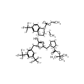 CCOC(=O)N1c2ccc(C(F)(F)F)cc2[C@@H](NC2=NC(CN3CCC[C@H]3C(=O)OC(C)(C)C)ON2Cc2cc(C(F)(F)F)cc(C(F)(F)F)c2)C[C@H]1CC